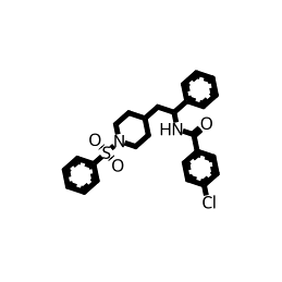 O=C(NC(CC1CCN(S(=O)(=O)c2ccccc2)CC1)c1ccccc1)c1ccc(Cl)cc1